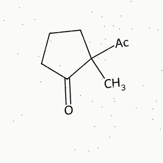 CC(=O)C1(C)CCCC1=O